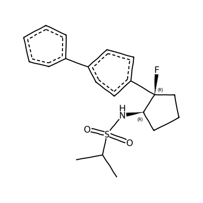 CC(C)S(=O)(=O)N[C@@H]1CCC[C@@]1(F)c1ccc(-c2ccccc2)cc1